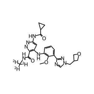 [2H]C([2H])([2H])NC(=O)c1nnc(NC(=O)C2CC2)cc1Nc1cccc(-c2ncn(CC3COC3)n2)c1OC